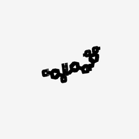 COc1ccc(CN2CCC(c3cccc(CNC(=O)c4ccc(Cl)cc4)c3)C2)cc1OC